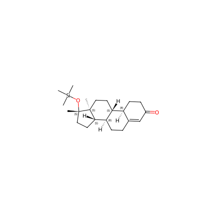 C[C@]12CC[C@H]3[C@@H](CCC4=CC(=O)CC[C@@H]43)[C@@H]1CC[C@]2(C)O[Si](C)(C)C